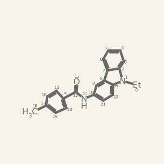 CCn1c2ccccc2c2cc(NC(=O)c3ccc(C)cc3)ccc21